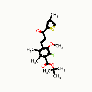 COc1c(F)c(C(=O)OC(C)(C)C)c(C)c(C)c1C=CC(=O)c1cc(C)cs1